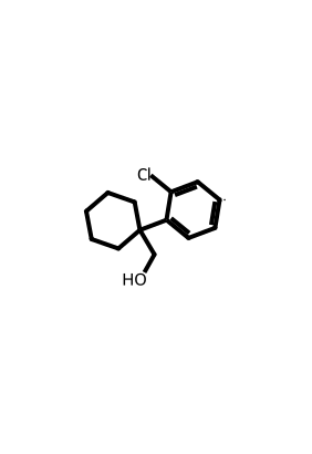 OCC1(c2cc[c]cc2Cl)CCCCC1